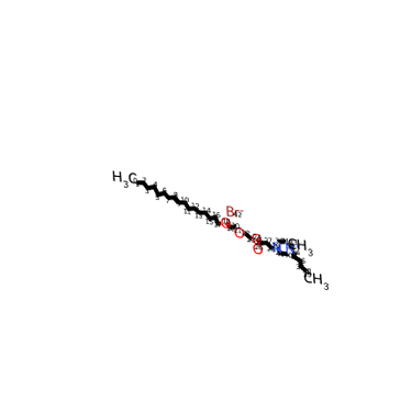 CCCCCCCCC=CCCCCCCCCOCCOCCOC(=O)CCN1CC[N+](C)(CCCCCC)CC1.[Br-]